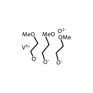 COCC[O-].COCC[O-].COCC[O-].[O-2].[V+5]